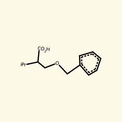 CC(C)C(COCc1ccccc1)C(=O)O